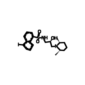 C[C@@H]1CCC[C@H](C)N1C[C@@H](O)CNS(=O)(=O)c1cccc2c(I)cccc12